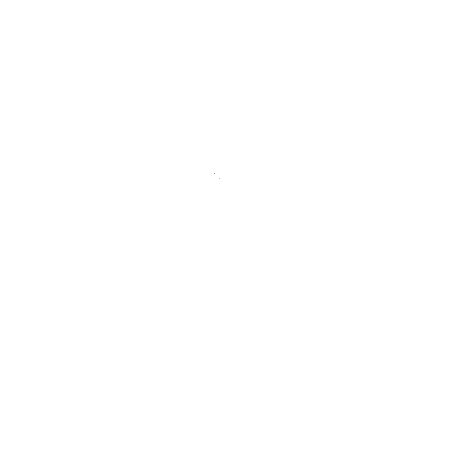 CCc1ccc(OC(C)C)c(C)n1